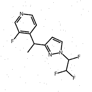 CC(c1ccn(C(F)C(F)F)n1)c1ccncc1F